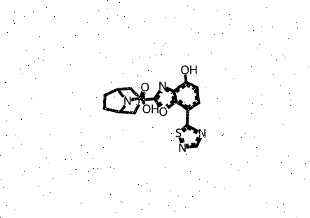 O=C(O)N1C2CCC1CN(c1nc3c(O)ccc(-c4ncns4)c3o1)C2